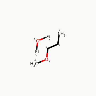 CCCOC.CCOCC